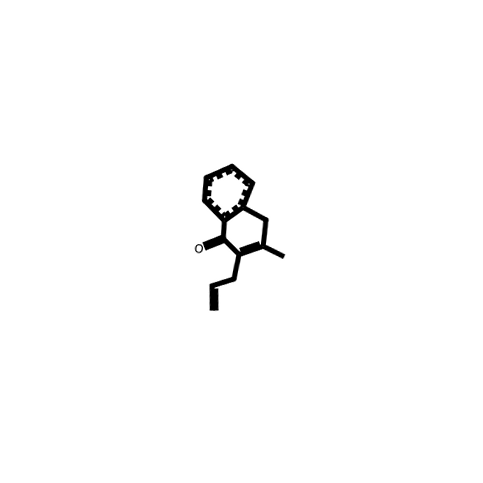 C=CCC1=C(C)Cc2ccccc2C1=O